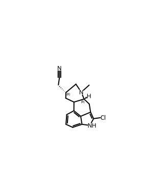 CN1C[C@@H](CC#N)CC2c3cccc4[nH]c(Cl)c(c34)C[C@H]21